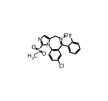 CS(=O)(=O)c1ncc2n1-c1ccc(Cl)cc1C(c1ccccc1F)=[N+]([O-])C2